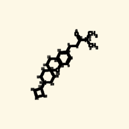 CN(C)C(=O)CCc1ccc2c(c1)CCC1(CCN(C3CCC3)CC1)O2